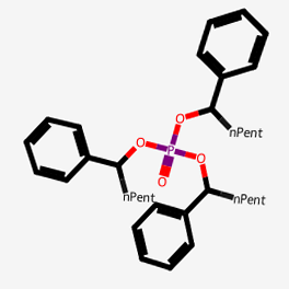 CCCCCC(OP(=O)(OC(CCCCC)c1ccccc1)OC(CCCCC)c1ccccc1)c1ccccc1